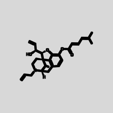 C=CCN1CC[C@]23c4c(ccc(OC(=O)/C=C/C=C(C)C)c4O[C@H]2[C@@H](O)C=C)C[C@@H]1C3C